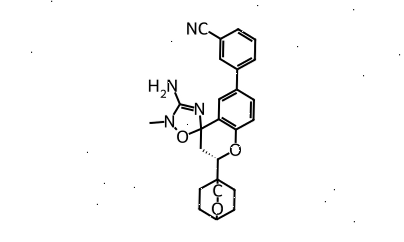 CN1OC2(C[C@@H](C34CCC(CC3)OC4)Oc3ccc(-c4cccc(C#N)c4)cc32)N=C1N